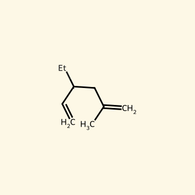 C=C[C](CC)CC(=C)C